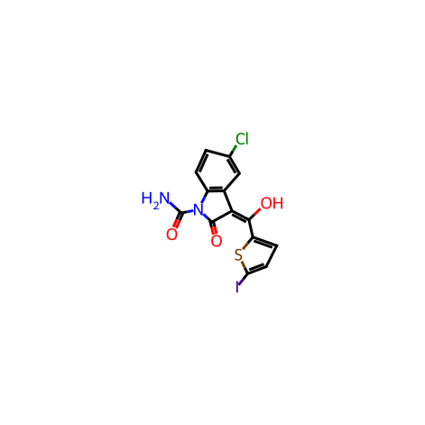 NC(=O)N1C(=O)C(=C(O)c2ccc(I)s2)c2cc(Cl)ccc21